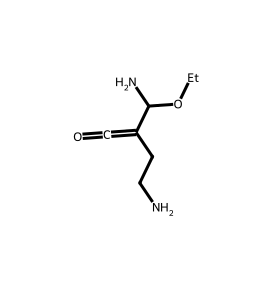 CCOC(N)C(=C=O)CCN